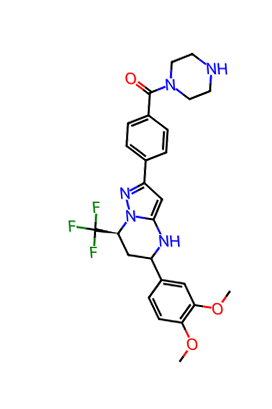 COc1ccc(C2C[C@@H](C(F)(F)F)n3nc(-c4ccc(C(=O)N5CCNCC5)cc4)cc3N2)cc1OC